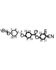 CCCCO[C@H]1CC[C@H](COc2ccc(C(=O)Oc3ccc(C#N)c(F)c3)cc2)CC1